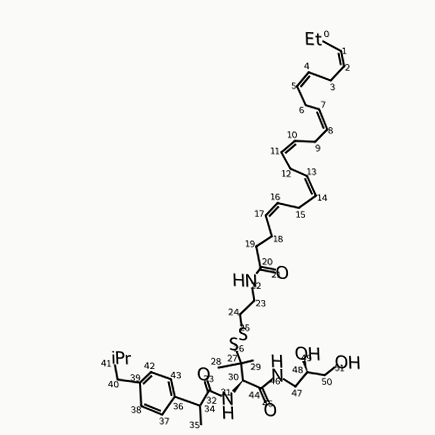 CC/C=C\C/C=C\C/C=C\C/C=C\C/C=C\C/C=C\CCC(=O)NCCSSC(C)(C)[C@H](NC(=O)C(C)c1ccc(CC(C)C)cc1)C(=O)NC[C@@H](O)CO